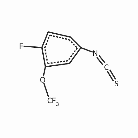 Fc1ccc(N=C=S)cc1OC(F)(F)F